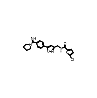 N=C(c1ccc(-c2cc(CNC(=O)c3ccc(Cl)s3)no2)cc1)N1CCCC1